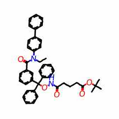 CCN(C(=O)c1cccc(C(ONC(=O)CCCC(=O)OC(C)(C)C)(c2ccccc2)c2ccccc2)c1)c1ccc(-c2ccccc2)cc1